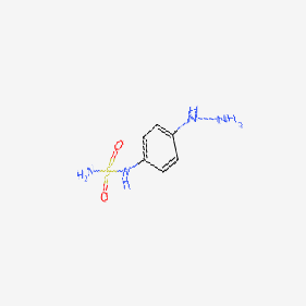 NNc1ccc(NS(N)(=O)=O)cc1